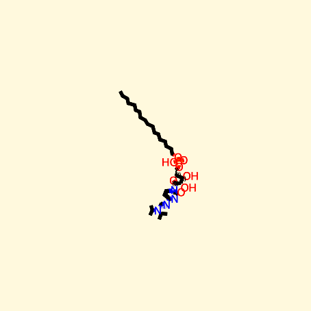 CCCCCCCCCCCCCCCCCCOP(=O)(O)OC[C@H]1O[C@@H](n2ccc(/N=C/N(C(C)C)C(C)C)nc2=O)C(O)[C@H]1O